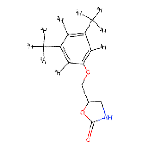 [2H]c1c(OCC2CNC(=O)O2)c([2H])c(C([2H])([2H])[2H])c([2H])c1C([2H])([2H])[2H]